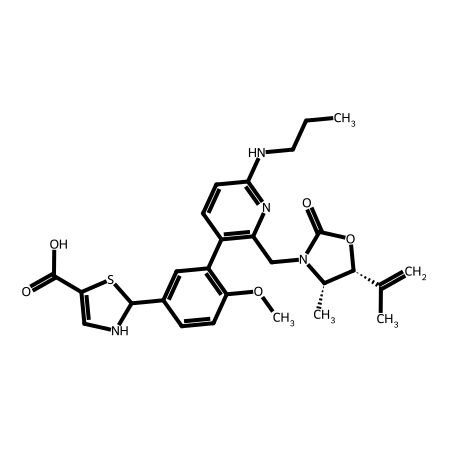 C=C(C)[C@H]1OC(=O)N(Cc2nc(NCCC)ccc2-c2cc(C3NC=C(C(=O)O)S3)ccc2OC)[C@H]1C